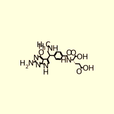 CNCC(c1ccc(C(=O)N[C@@H](CCC(=O)O)C(=O)O)cc1)c1c[nH]c2nc(N)nc(O)c12